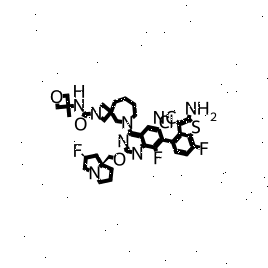 CC1(NC(=O)N2CC3(CCCCN(c4nc(OC[C@@]56CCCN5C[C@H](F)C6)nc5c(F)c(-c6ccc(F)c7sc(N)c(C#N)c67)c(Cl)cc45)C3)C2)COC1